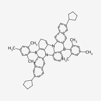 Cc1cc(C)c(B2C3=C4C(=CCC3)N3c5cc6ccc(C7CCCC7)cc6cc5B(c5c(C)cc(C)cc5C)c5cccc(c53)N4c3cc4ccc(C5CCCC5)cc4cc32)c(C)c1